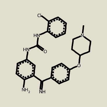 CN1CCC(Oc2ccc(C(=N)c3cc(NC(=O)Nc4ccccc4Cl)ccc3N)cc2)CC1